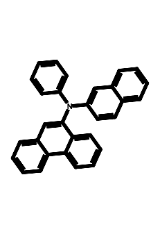 c1ccc(N(c2ccc3ccccc3c2)c2cc3ccccc3c3ccccc23)cc1